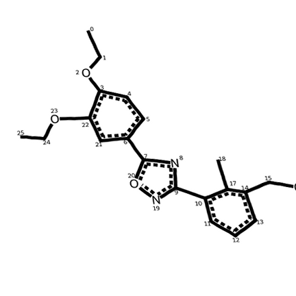 CCOc1ccc(-c2nc(-c3cccc(CO)c3C)no2)cc1OCC